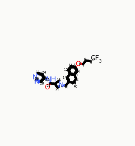 C[C@H]1Cc2cc(OCCCC(F)(F)F)ccc2C=C1CN1CC(C(=O)Nc2ccnnc2)C1